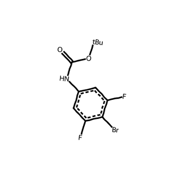 CC(C)(C)OC(=O)Nc1cc(F)c(Br)c(F)c1